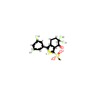 CS(=O)(=O)c1sc(-c2cc(F)cc(F)c2)c2c1C(=O)C(F)(F)CC2